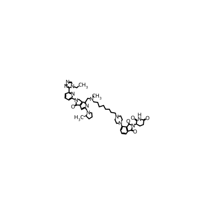 CCn1cnnc1-c1cccc(N2Cc3c(cc(N4CCC[C@H]4C)nc3CN(C)CCCCCCCCN3CCN(c4cccc5c4C(=O)N(C4CCC(=O)NC4=O)C5=O)CC3)C2=O)n1